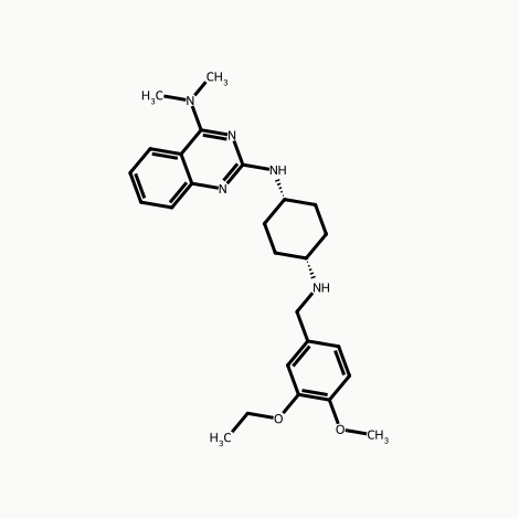 CCOc1cc(CN[C@H]2CC[C@@H](Nc3nc(N(C)C)c4ccccc4n3)CC2)ccc1OC